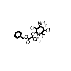 NC1=C(Cl)C(OC(C(=O)OCc2ccccc2)C(F)(F)F)=NC(F)=C(Cl)C1